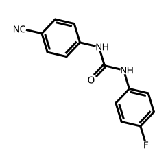 N#Cc1ccc(NC(=O)Nc2ccc(F)cc2)cc1